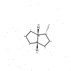 I[C@@H]1CC[C@@H]2CCC[C@@H]21